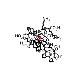 CC(C)C[C@H](NC(=O)[C@H](CC(=O)O)NC(=O)[C@H](C)NC(=O)[C@H](Cc1ccccc1)NC(=O)[C@H](C)NC(=O)[C@H](CCC(=O)O)NC(=O)[C@H](CCC(N)=O)NC(=O)[C@H](CO)NC(=O)[C@H](CC(C)C)NC(=O)[C@@H]1CCCN1C(=O)[C@@H]1CCCN1C(=O)[C@@H](N)CCC(=O)O)C(=O)N[C@@H](Cc1c[nH]c2ccccc12)C(=O)N[C@@H](CCCCN)C(=O)N[C@@H](CCCCN)C(=O)O